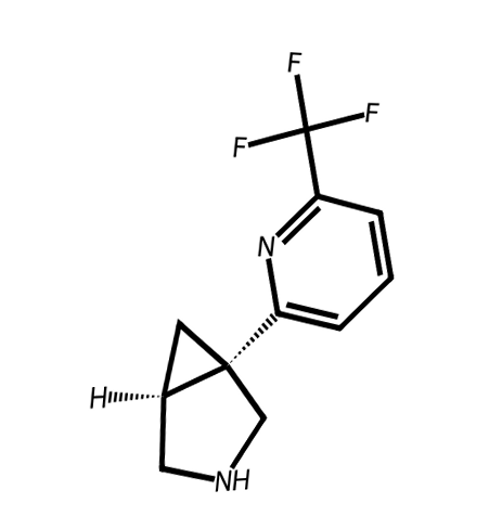 FC(F)(F)c1cccc([C@]23CNC[C@H]2C3)n1